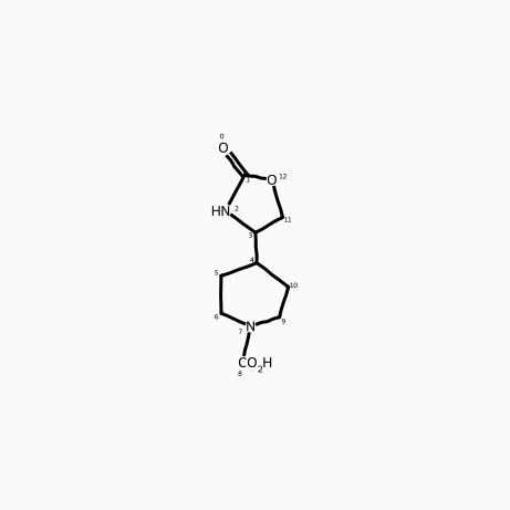 O=C1NC(C2CCN(C(=O)O)CC2)CO1